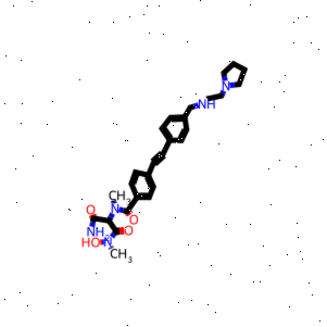 CN(O)C(=O)C(C(N)=O)N(C)C(=O)c1ccc(C#Cc2ccc(CNCCN3CCCC3)cc2)cc1